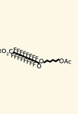 CCOC(=O)C(F)(F)C(F)(F)C(F)(F)C(F)(F)C(F)(F)C(F)(F)C(F)(F)C(F)(F)C(=O)OCCCCCCOC(C)=O